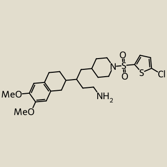 COc1cc2c(cc1OC)CC(C(CCN)CC1CCN(S(=O)(=O)c3ccc(Cl)s3)CC1)CC2